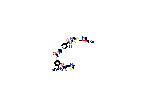 CCCC(c1ccc(OCC(=O)N2CC(N3CCC(C(=O)Nc4ncc(SCc5ncc(C(C)(C)C)o5)s4)CC3)C2)cc1)N(C)C(=O)/C(C#N)=C/c1nccs1